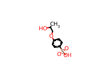 CC(O)COc1ccc(S(=O)(=O)O)cc1